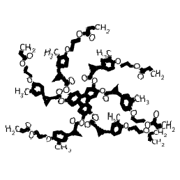 C=CC(=C)OCCCOc1ccc(C2CC2C(=O)Oc2cc3c(cc2OC(=O)C2CC2c2ccc(OCCCOC(=O)C=C)c(C)c2)c2cc(OC(=O)C4CC4c4ccc(OCCCOC(=O)C=C)c(C)c4)c(OC(=O)C4CC4c4ccc(OCCCOC(=O)C=C)c(C)c4)cc2c2cc(OC(=O)C4CC4c4ccc(OCCCOC(=O)C=C)c(C)c4)c(OC(=O)C4CC4c4ccc(OCCCOC(=O)C=C)c(C)c4)cc32)cc1C